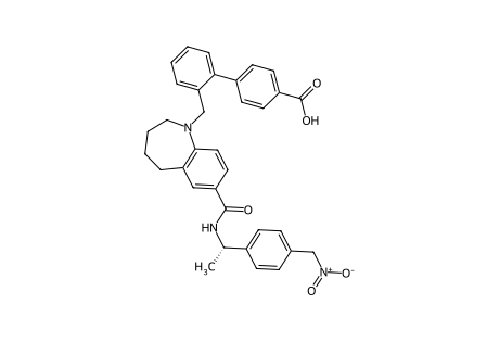 C[C@H](NC(=O)c1ccc2c(c1)CCCCN2Cc1ccccc1-c1ccc(C(=O)O)cc1)c1ccc(C[N+](=O)[O-])cc1